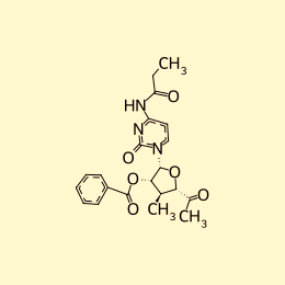 CCC(=O)Nc1ccn([C@@H]2O[C@H](C(C)=O)[C@@H](C)[C@@H]2OC(=O)c2ccccc2)c(=O)n1